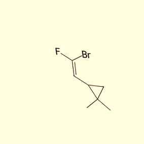 CC1(C)CC1C=C(F)Br